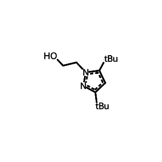 CC(C)(C)c1cc(C(C)(C)C)n(CCO)n1